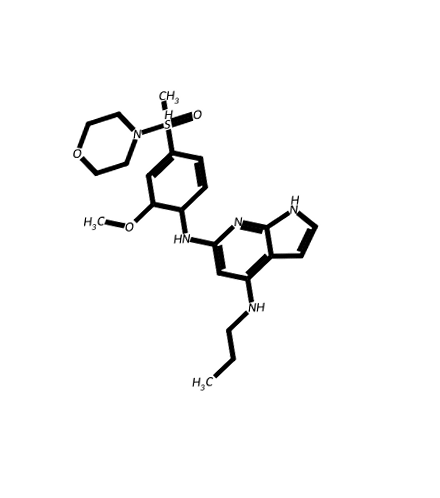 CCCNc1cc(NC2C=CC([SH](C)(=O)N3CCOCC3)=CC2OC)nc2[nH]ccc12